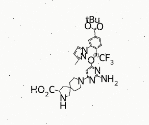 Cc1ccn(-c2cc(C(=O)OC(C)(C)C)ccc2[C@@H](Oc2cc(N3CCC4(CC3)CNC(C(=O)O)C4)nc(N)n2)C(F)(F)F)n1